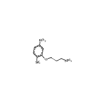 [C-]#[N+]c1ccc([N+](=O)[O-])cc1OCCCN